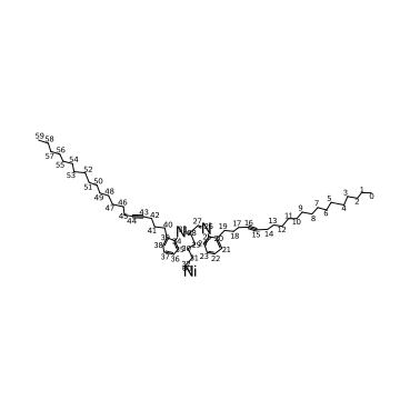 CCCCCCCCCCCCCCCC#CCCCc1ccccc1/N=C\C(CCCC)=N\c1ccccc1CCCC#CCCCCCCCCCCCCCCC.[Ni]